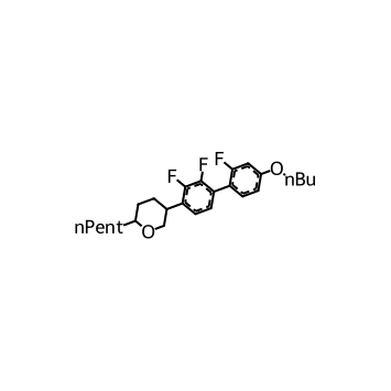 CCCCCC1CCC(c2ccc(-c3ccc(OCCCC)cc3F)c(F)c2F)CO1